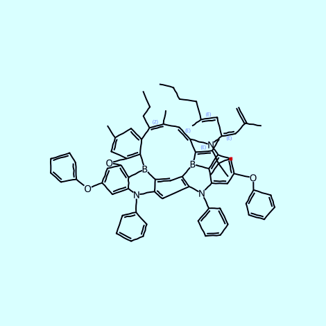 C=C(C)/C=C(\C=C(/C)CCCC)N1/C2=C/C(C)=C(/CCC)c3cc(C)cc4c3B3c5cc6c(cc5N(c5ccccc5)c5cc(Oc7ccccc7)cc(c53)O4)N(c3ccccc3)c3cc(Oc4ccccc4)cc1c3B6\C2=C(\C)C(C)(C)C